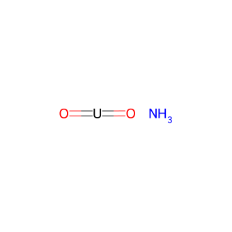 N.[O]=[U]=[O]